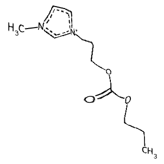 CCCOC(=O)OCC[n+]1ccn(C)c1